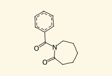 O=C1CCCCCN1C(=O)c1ccccc1